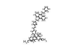 Cc1ccc(N(c2ccc(C=Cc3ccc(C=Cc4c5ccccc5c(C=Cc5ccccc5)c5ccccc45)s3)cc2)c2c(C)cc(C)cc2C)cc1